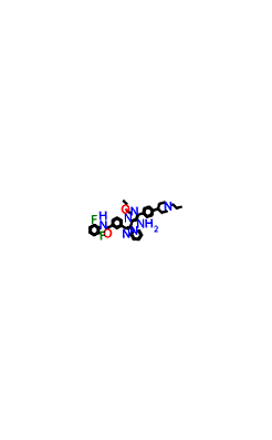 CCCN1CCC(c2ccc(-c3nc(OCC)nc(-c4c(-c5cccc(C(=O)Nc6c(F)cccc6F)c5)nc5ccccn45)c3N)cc2)CC1